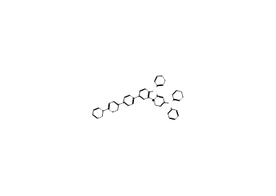 CC12CC=C(N(C3=CCCC=C3)c3ccccc3)C=C1N(C1=CCCC=C1)c1ccc(-c3ccc(C4=CC=C(C5C=CC=CC5)CC4)cc3)cc12